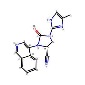 Cc1c[nH]c(N2C[C@@H](C#N)N(c3cncc4ccccc34)C2=O)n1